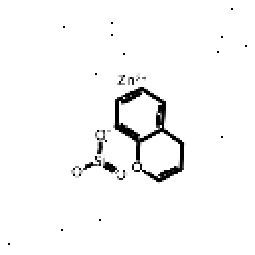 C1=COc2ccccc2C1.O=[Si]([O-])[O-].[Zn+2]